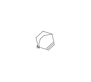 C1#CN2CC[C]1CC2